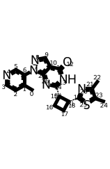 Cc1ccncc1-n1ncc2c(=O)[nH]c([C@H]3CC[C@H]3c3nc(C)c(C)s3)nc21